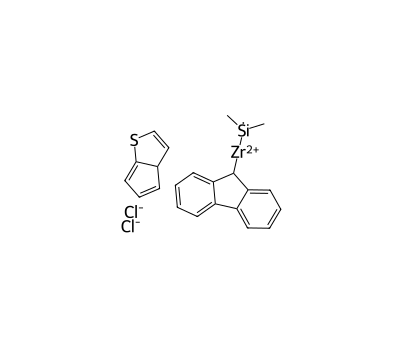 C1=CC2C=CSC2=C1.C[Si](C)[Zr+2][CH]1c2ccccc2-c2ccccc21.[Cl-].[Cl-]